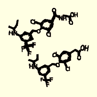 CCC(C)Nc1cc(COc2c(Cl)cc(C(=O)NCC(=O)O)cc2Cl)cc(C(F)(F)F)c1.CCC(C)Nc1cc(COc2c(Cl)cc(CC(=O)O)cc2Cl)cc(C(F)(F)F)c1